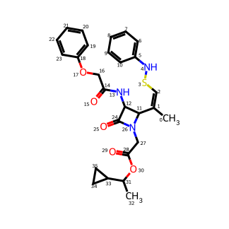 CC(=CSNc1ccccc1)C1C(NC(=O)COc2ccccc2)C(=O)N1CC(=O)OC(C)C1CC1